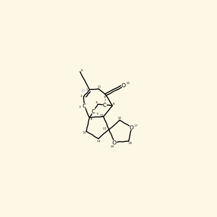 C/C1=C/CC23CCCC(C(=O)C1)C2C1(CC3)COCO1